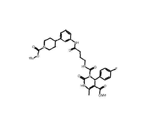 COC(=O)C1=C(C)NC(=O)N(C(=O)NCCCC(=O)Nc2cccc(C3CCN(C(=O)OC(C)(C)C)CC3)c2)C1c1ccc(F)cc1